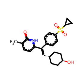 O=c1[nH]c(/C(=C/[C@H]2CC[C@H](O)CC2)c2ccc(S(=O)(=O)C3CC3)cc2)ccc1C(F)(F)F